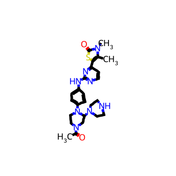 CC(=O)N1CCN(c2ccc(Nc3nccc(-c4sc(=O)n(C)c4C)n3)cc2)C(N2CCNCC2)C1